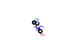 Nc1c2c(nn1C(=O)[C@@H]1CCNc3c(Cl)cccc31)C[C@@H](O)CC2